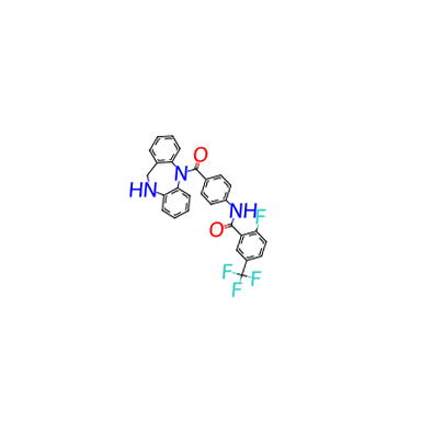 O=C(Nc1ccc(C(=O)N2c3ccccc3CNc3ccccc32)cc1)c1cc(C(F)(F)F)ccc1F